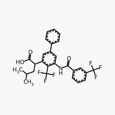 CC(C)CC(C(=O)O)c1cc(-c2ccccc2)cc(NC(=O)c2cccc(C(F)(F)F)c2)c1C(F)(F)F